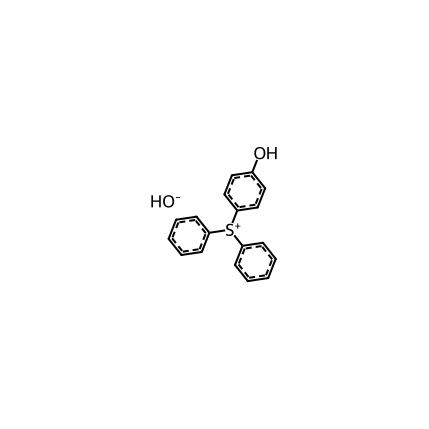 Oc1ccc([S+](c2ccccc2)c2ccccc2)cc1.[OH-]